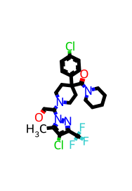 Cc1c(Cl)c(C(F)(F)F)nn1C(C=O)N1CCC(C(=O)N2CCCCC2)(c2ccc(Cl)cc2)CC1